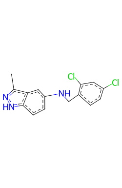 Cc1n[nH]c2ccc(NCc3ccc(Cl)cc3Cl)cc12